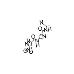 CC(C#N)NC(=O)c1cc(NC(=O)c2cc([N+](=O)[O-])nn2C)cn1C